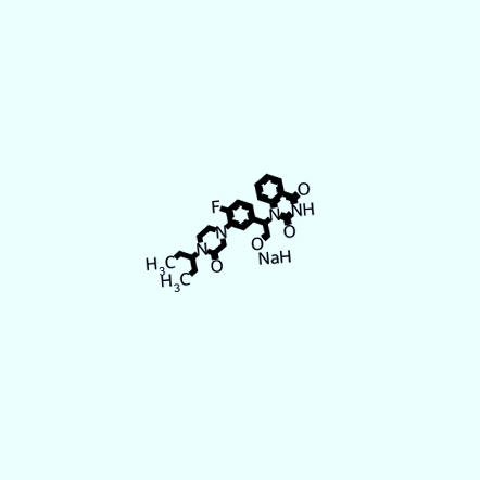 CCC(CC)N1CCN(c2cc(C(C=O)n3c(=O)[nH]c(=O)c4ccccc43)ccc2F)CC1=O.[NaH]